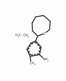 Cc1ccc([C]2CCCCCCC2)cc1N.[CH2].[CH2]